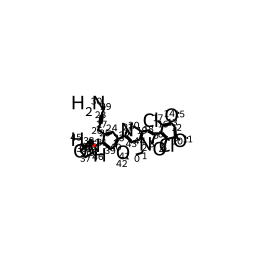 CCn1c(=O)c(-c2c(Cl)c(OC)cc(OC)c2Cl)cc2cnc(-c3cc(CC#CCN)c(N4C[C@@H]5C[C@H]4CO5)cc3OC)cc21